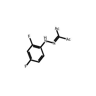 CC(=O)C(=NNc1ccc(F)cc1F)C(C)=O